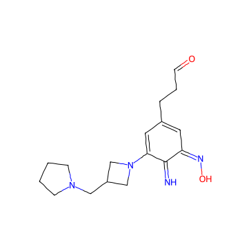 N=C1C(N2CC(CN3CCCC3)C2)=CC(CCC=O)=C/C1=N/O